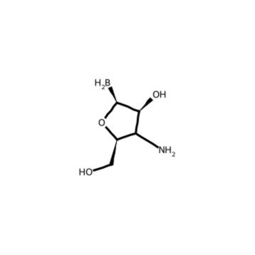 B[C@@H]1O[C@H](CO)C(N)[C@@H]1O